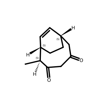 C[C@@H]1C(=O)CC(=O)C[C@H]2C=C[C@@H]1CC2